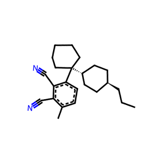 CCC[C@H]1CC[C@H](C2(c3ccc(C)c(C#N)c3C#N)CCCCC2)CC1